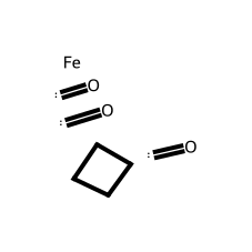 C1CCC1.[C]=O.[C]=O.[C]=O.[Fe]